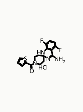 Cl.NC1=NC2(CCN(C(=O)c3cccs3)CC2)Nc2c(F)ccc(F)c21